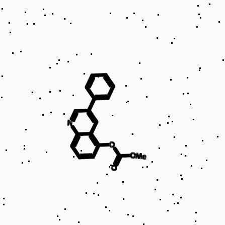 COC(=O)Oc1cccc2ncc(-c3ccccc3)cc12